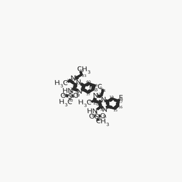 CCc1nc(C)c2c(NS(C)(=O)=O)nc3ccc(F)cc3n12.CCc1nc(C)c2c(NS(C)(=O)=O)nc3ccccc3n12